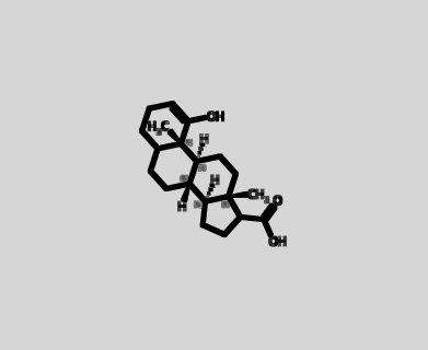 C[C@]12C(O)=CCCC1CC[C@@H]1[C@@H]2CC[C@]2(C)C(C(=O)O)CC[C@@H]12